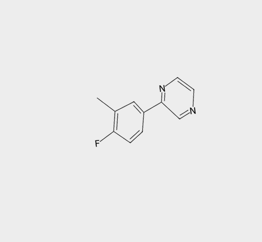 Cc1cc(-c2cnccn2)ccc1F